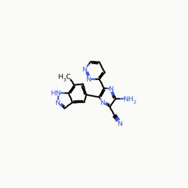 Cc1cc(-c2nc(C#N)c(N)nc2-c2cccnn2)cc2cn[nH]c12